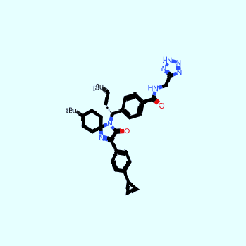 CC(C)(C)CC[C@H](c1ccc(C(=O)NCc2nn[nH]n2)cc1)N1C(=O)C(c2ccc(C3CC3)cc2)=NC12CCC(C(C)(C)C)CC2